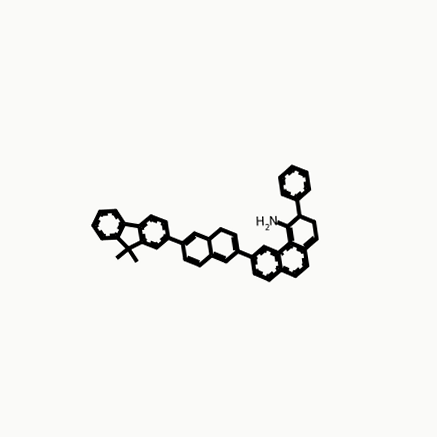 CC1(C)c2ccccc2-c2ccc(C3=CC4CC=C(c5ccc6ccc7c(c6c5)=C(N)C(c5ccccc5)CC=7)C=C4C=C3)cc21